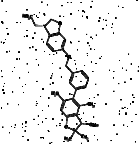 COC1c2c(cc(C)c(-c3cccc(COc4ccc5c(c4)OC[C@H]5CC(=O)O)c3)c2C)OC1(C)C